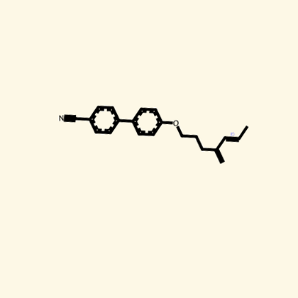 C=C(/C=C/C)CCCOc1ccc(-c2ccc(C#N)cc2)cc1